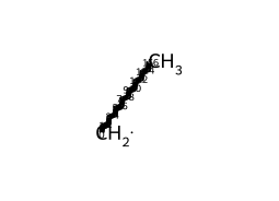 [CH2]C=CCCC=CCCC=CCCCCCC